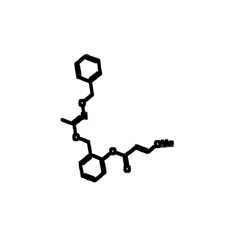 COC=CC(=O)Oc1ccccc1COC(C)=NOCc1ccccc1